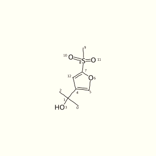 CC(C)(O)c1coc(S(C)(=O)=O)c1